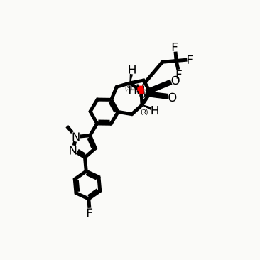 Cn1nc(-c2ccc(F)cc2)cc1C1=CC2=C(CC1)C[C@@H]1CC[C@H](C2)[C@@]12CN(CC(F)(F)F)S(=O)(=O)N2